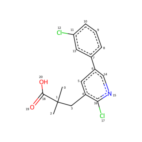 CC(C)(Cc1cc(-c2cccc(Cl)c2)cnc1Cl)C(=O)O